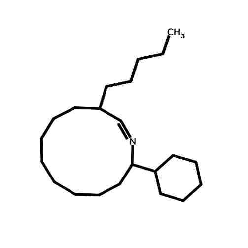 CCCCCC1C=NC(C2CCCCC2)CCCCCCCC1